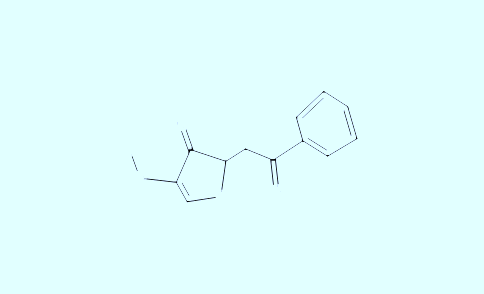 CCOC1=CSC(CC(=O)c2ccccc2)C1=O